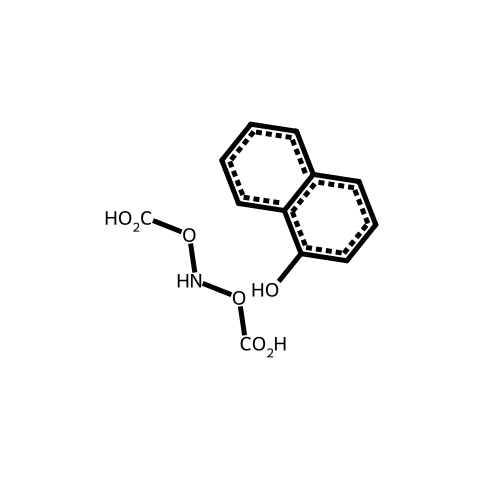 O=C(O)ONOC(=O)O.Oc1cccc2ccccc12